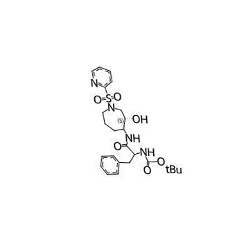 CC(C)(C)OC(=O)NC(Cc1ccccc1)C(=O)NC1CCCN(S(=O)(=O)c2ccccn2)C[C@@H]1O